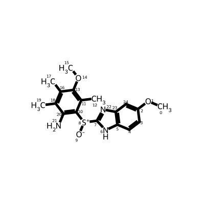 COc1ccc2[nH]c([S+]([O-])c3c(C)c(OC)c(C)c(C)c3N)nc2c1